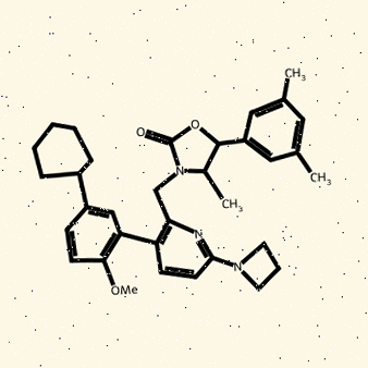 COc1ccc(C2CCCCC2)cc1-c1ccc(N2CCC2)nc1CN1C(=O)OC(c2cc(C)cc(C)c2)C1C